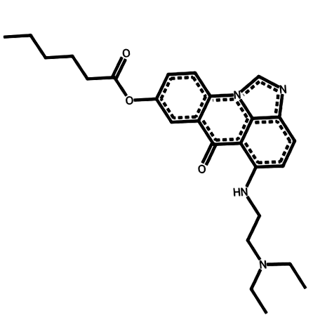 CCCCCC(=O)Oc1ccc2c(c1)c(=O)c1c(NCCN(CC)CC)ccc3ncn2c31